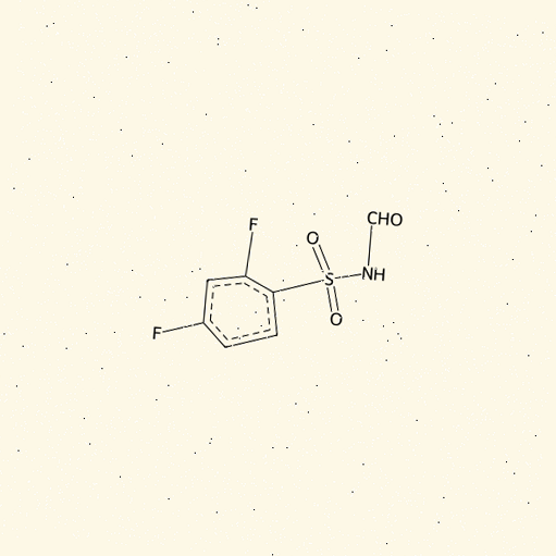 O=CNS(=O)(=O)c1ccc(F)cc1F